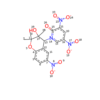 CC1(C)Oc2ccc([N+](=O)[O-])cc2C(n2cc([N+](=O)[O-])cc([N+](=O)[O-])c2=O)C1(C)O